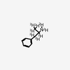 [2H]N([2H])C([2H])(C([2H])([2H])[2H])C([2H])([2H])c1ccccc1